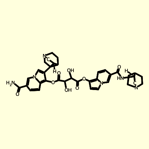 NC(=O)c1ccc2c(OC(=O)C(O)C(O)C(=O)Oc3ccn4cc(C(=O)N[C@H]5CN6CCC5CC6)ccc34)c([C@@H]3CN4CCC3CC4)cn2c1